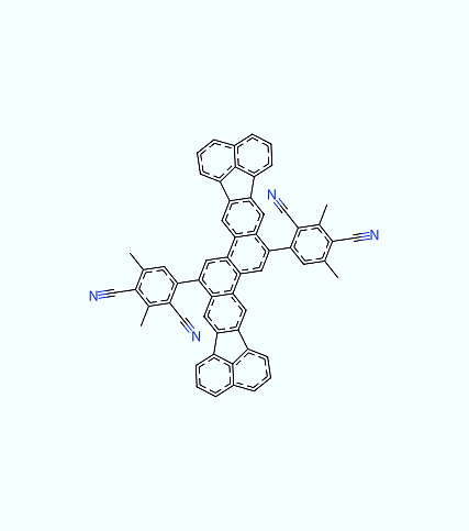 Cc1cc(-c2cc3c4cc5c(cc4c(-c4cc(C)c(C#N)c(C)c4C#N)cc3c3cc4c(cc23)-c2cccc3cccc-4c23)-c2cccc3cccc-5c23)c(C#N)c(C)c1C#N